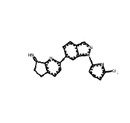 N=C1CCc2ccc(-c3ccc4cnn(-c5cccc(C(F)(F)F)n5)c4c3)nc21